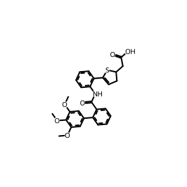 COc1cc(-c2ccccc2C(=O)Nc2ccccc2C2=CCC(CC(=O)O)S2)cc(OC)c1OC